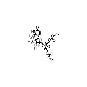 C=C1NC(=O)C=CN1[C@@H]1O[C@](F)(COP(=O)(OCOC(=O)OC(C)C)OCOC(=O)OC(C)C)[C@@H](O)[C@@]1(C)F